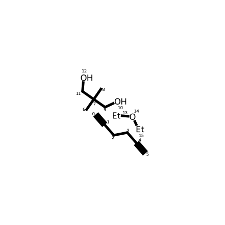 C#CCCC#C.CC(C)(CO)CO.CCOCC